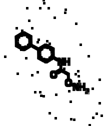 NOCC(=O)Nc1ccc(-c2ccccc2)cc1